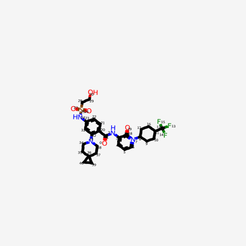 O=C(Nc1cccn(C2CCC(C(F)(F)F)CC2)c1=O)c1ccc(NS(=O)(=O)CCO)cc1N1CCC2(CC1)CC2